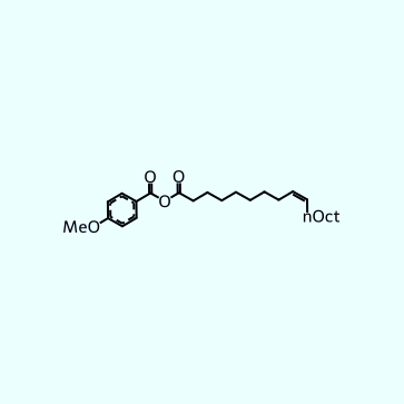 CCCCCCCC/C=C\CCCCCCCC(=O)OC(=O)c1ccc(OC)cc1